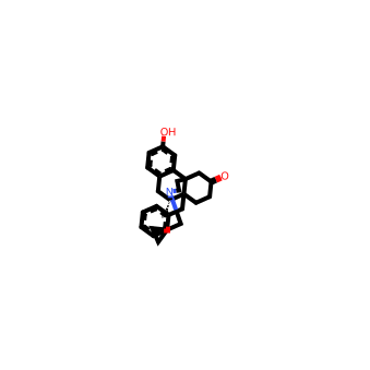 O=C1CCC2(Cc3ccccc3)[C@H]3Cc4ccc(O)cc4C2(CCN3CC2CC2)C1